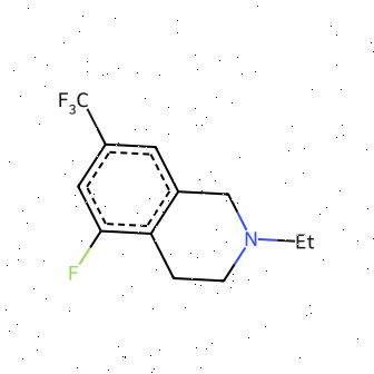 CCN1CCc2c(F)cc(C(F)(F)F)cc2C1